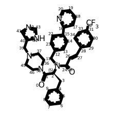 O=C([C@H](Cc1ccccc1)N(Cc1ccc(-c2ccccn2)cc1)C(=O)C=Cc1ccc(C(F)(F)F)cc1)N1CCN(Cc2cnc[nH]2)CC1